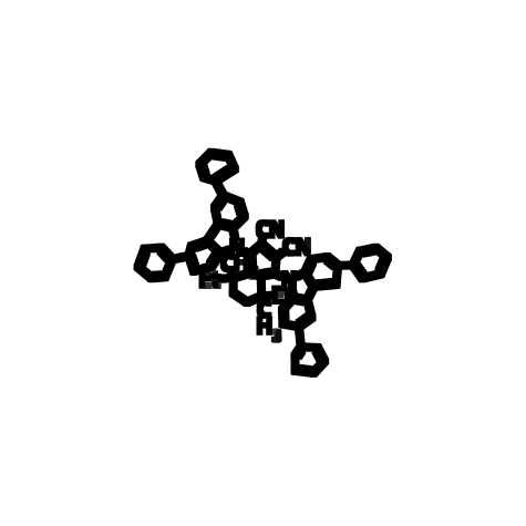 CCC1(C)CCC(C)(CC)c2c(-n3c4ccc(-c5ccccc5)cc4c4cc(-c5ccccc5)ccc43)c(C#N)c(C#N)c(-n3c4ccc(-c5ccccc5)cc4c4cc(-c5ccccc5)ccc43)c21